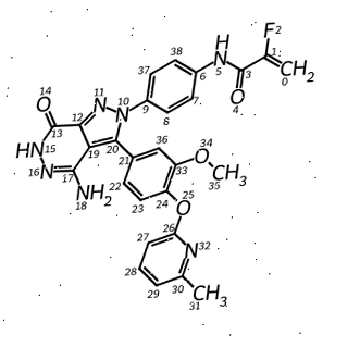 C=C(F)C(=O)Nc1ccc(-n2nc3c(=O)[nH]nc(N)c3c2-c2ccc(Oc3cccc(C)n3)c(OC)c2)cc1